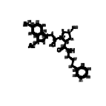 CC(=O)c1cn(CC(=O)N2C[C@H](F)C[C@H]2C(=O)NCCCc2ccccc2)c2ccc(Br)cc12